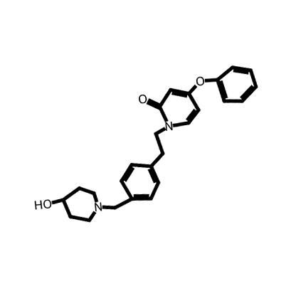 O=c1cc(Oc2ccccc2)ccn1CCc1ccc(CN2CCC(O)CC2)cc1